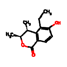 CCc1c(O)ccc2c1[C@@H](C)[C@H](C)OC2=O